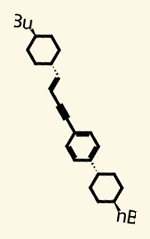 CCCC[C@H]1CC[C@H](C=CC#Cc2ccc([C@H]3CC[C@H](CCCC)CC3)cc2)CC1